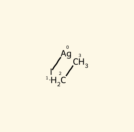 [Ag][I].[CH2]C